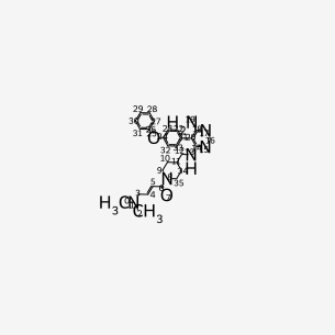 CN(C)CC=CC(=O)N1CCC(CNc2ncnc(N)c2-c2ccc(Oc3ccccc3)cc2)CC1